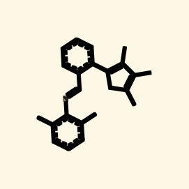 CC1=C(C)C(C)=C(c2ccccc2C=Nc2c(C)cccc2C)C1